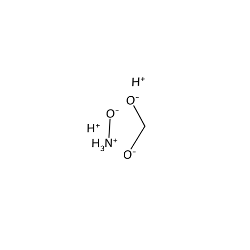 [H+].[H+].[NH3+][O-].[O-]C[O-]